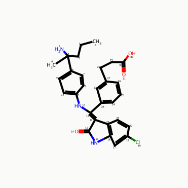 CCCC(C)(N)c1ccc(N/C(=C2\C(=O)Nc3cc(Cl)ccc32)c2cccc(CCC(=O)O)c2)cc1